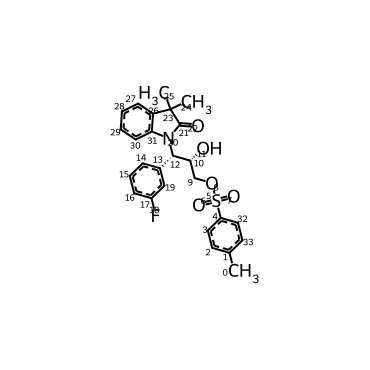 Cc1ccc(S(=O)(=O)OC[C@@H](O)[C@H](c2cccc(F)c2)N2C(=O)C(C)(C)c3ccccc32)cc1